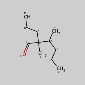 CCCC(C)C(C)(C=O)CCC